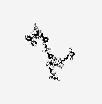 CC(C)[C@H](NC(=O)CCCCCN1C(=O)C=CC1=O)C(=O)N[C@@H](CCCNC(N)=O)C(=O)Nc1ccc(COC(=O)NCCOc2cccc(-c3cnc(N)c(C(=O)Nc4cnccc4N4CCOCC4)n3)c2)cc1